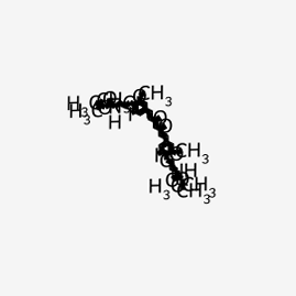 COc1cc(/C=C/C(=O)CC(=O)/C=C/c2cc(I)c(OCCNC(=O)OC(C)(C)C)c(OC)c2)cc(I)c1OCCNC(=O)OC(C)(C)C